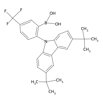 CC(C)(C)c1ccc2c(c1)c1cc(C(C)(C)C)ccc1n2-c1ccc(C(F)(F)F)cc1B(O)O